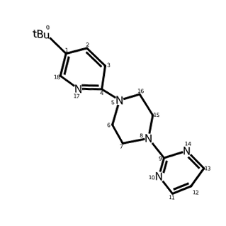 CC(C)(C)c1ccc(N2CCN(c3ncccn3)CC2)nc1